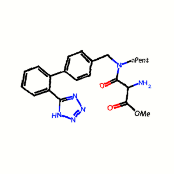 CCCCCN(Cc1ccc(-c2ccccc2-c2nnn[nH]2)cc1)C(=O)C(N)C(=O)OC